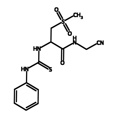 CS(=O)(=O)CC(NC(=S)Nc1ccccc1)C(=O)NCC#N